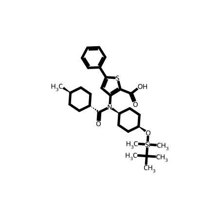 CC(C)(C)[Si](C)(C)O[C@H]1CC[C@@H](N(c2cc(-c3ccccc3)sc2C(=O)O)C(=O)[C@H]2CC[C@H](C)CC2)CC1